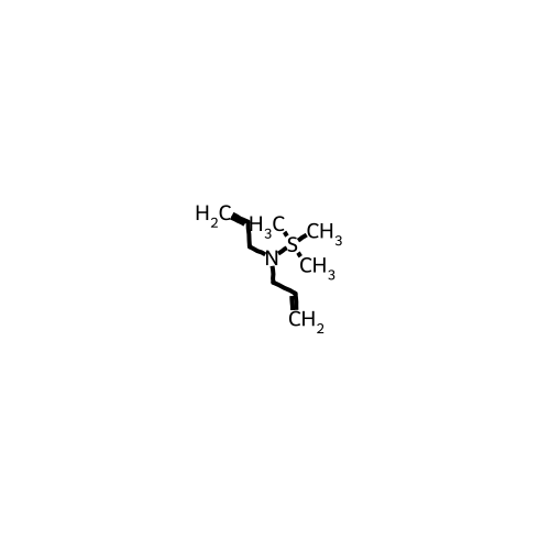 C=CCN(CC=C)S(C)(C)C